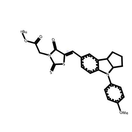 CCCCOC(=O)CN1C(=O)/C(=C/c2ccc3c(c2)C2CCCC2N3c2ccc(OC)cc2)SC1=S